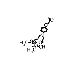 CCO[Si](CCCN(CC1CO1)c1ccc(OCC2CO2)cc1)(OCC)OCC